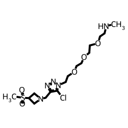 CNCCOCCOCCOCCn1nnc(CN2CC(S(C)(=O)=O)C2)c1Cl